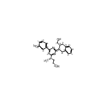 CN(CCO)c1nc(-c2cccc(O)c2)nc(N2Cc3ccccc3C[C@@H]2CO)n1